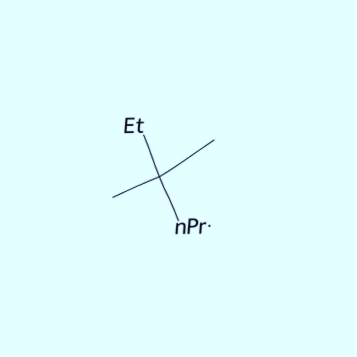 [CH2]CC(C)(C)[CH]CC